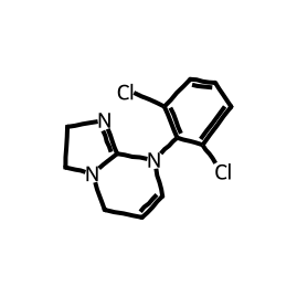 Clc1cccc(Cl)c1N1C=CCN2CCN=C21